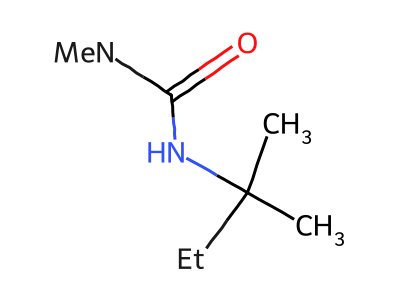 CCC(C)(C)NC(=O)NC